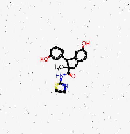 CC1(C(=O)Nc2nccs2)Cc2ccc(O)cc2C1c1cccc(O)c1